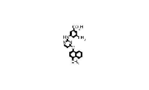 Cc1cc(Nc2nccc(Oc3ccc(C)c4ccccc34)n2)cc(C(=O)O)c1